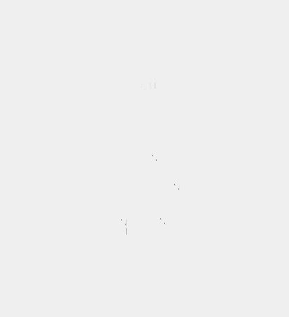 CC(C)(O)C1CN(c2ncnc3[nH]ccc23)C1